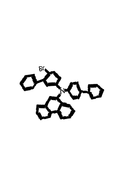 Brc1ccc(N(c2ccc(-c3ccccc3)cc2)c2cc3ccccc3c3ccccc23)cc1-c1ccccc1